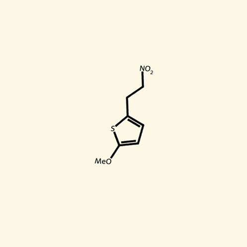 COc1ccc(CC[N+](=O)[O-])s1